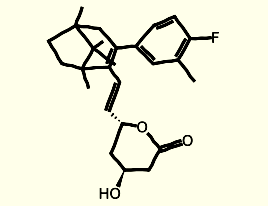 Cc1cc(C2=C(C=C[C@H]3C[C@H](O)CC(=O)O3)C3(C)CCC(C)(C2)C3(C)C)ccc1F